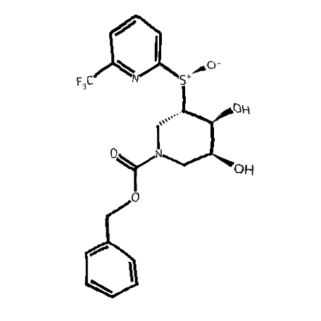 O=C(OCc1ccccc1)N1C[C@H](O)[C@H](O)[C@@H]([S@+]([O-])c2cccc(C(F)(F)F)n2)C1